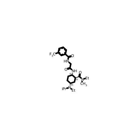 CCN(C)C(=O)[C@H]1C[C@H](N(CC)C(C)C)CC[C@@H]1NC(=O)CNC(=O)c1cccc(C(F)(F)F)c1